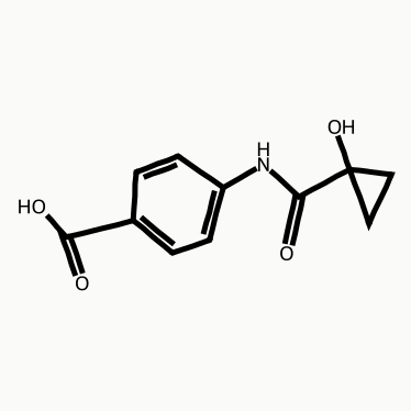 O=C(O)c1ccc(NC(=O)C2(O)CC2)cc1